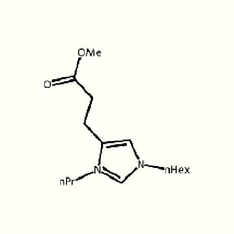 CCCCCCn1cc(CCC(=O)OC)[n+](CCC)c1